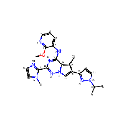 COc1ncccc1Nc1nc(-c2nccn2C)nn2cc(-c3ccn(C(C)C)n3)c(C)c12